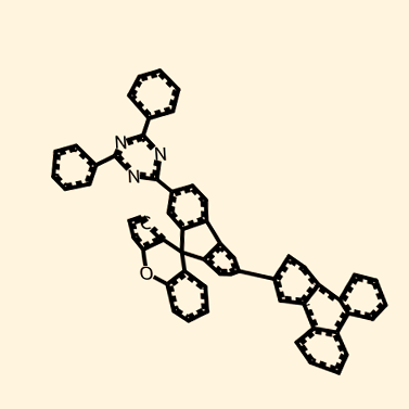 c1ccc(-c2nc(-c3ccccc3)nc(-c3ccc4c(c3)C3(c5ccccc5Oc5ccccc53)c3ccc(-c5ccc6c7ccccc7c7ccccc7c6c5)cc3-4)n2)cc1